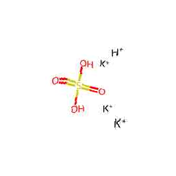 O=S(=O)(O)O.[H+].[K+].[K+].[K+]